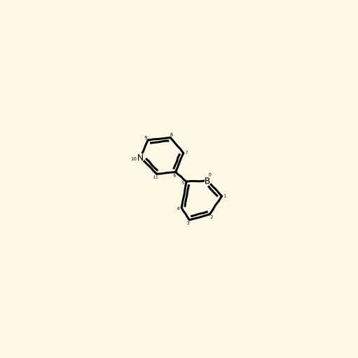 b1ccccc1-c1cccnc1